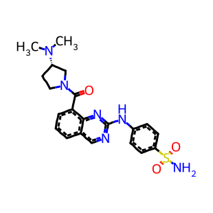 CN(C)[C@H]1CCN(C(=O)c2cccc3cnc(Nc4ccc(S(N)(=O)=O)cc4)nc23)C1